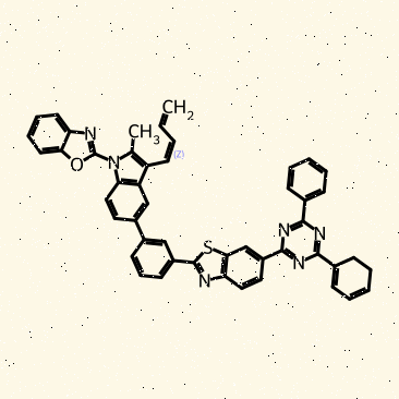 C=C/C=C\c1c(C)n(-c2nc3ccccc3o2)c2ccc(-c3cccc(-c4nc5ccc(-c6nc(C7=CC=CCC7)nc(-c7ccccc7)n6)cc5s4)c3)cc12